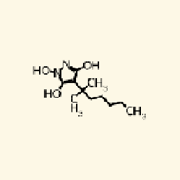 CCCCCC(C)(C)c1c(O)nn(O)c1O